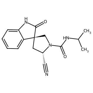 CC(C)NC(=O)N1C[C@]2(C[C@H]1C#N)C(=O)Nc1ccccc12